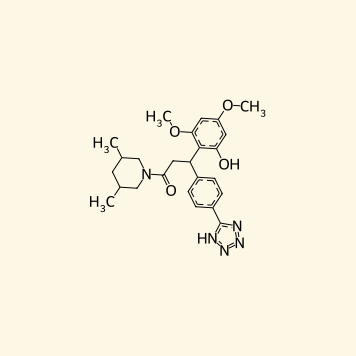 COc1cc(O)c(C(CC(=O)N2CC(C)CC(C)C2)c2ccc(-c3nnn[nH]3)cc2)c(OC)c1